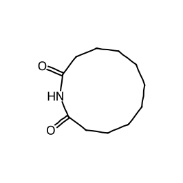 O=C1CCCCCCCCCC(=O)N1